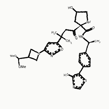 COC(OC)C1CN(c2cc(C(C)(C)CC(=O)[C@@]3(C(=O)N[C@@H](C)c4ccc(-c5scnc5C)cc4)CC(O)CN3)on2)C1